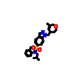 CC1=CC(Cn2ncc3c2C=CC(S(=O)(=O)N(CC(C)C)c2ccccc2C)C#C3)CCOC1